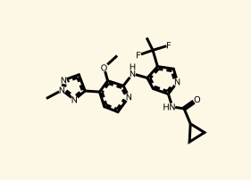 COc1c(-c2cnn(C)n2)ccnc1Nc1cc(NC(=O)C2CC2)ncc1C(C)(F)F